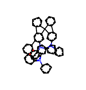 c1ccc(-c2cc3c(cc2N(c2ccccc2)c2ccccc2)C2(c4ccccc4-c4ccc(N(c5ccccc5)c5ccc6c7ccccc7n(-c7ccccc7)c6c5)cc42)c2ccccc2-3)cc1